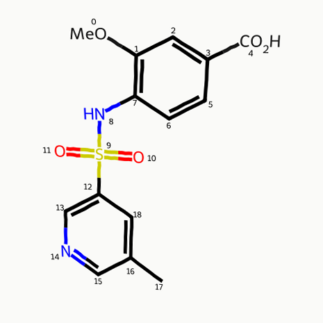 COc1cc(C(=O)O)ccc1NS(=O)(=O)c1cncc(C)c1